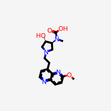 COc1ccc2nccc(CCN3C[C@H](O)[C@@H](N(C)C(=O)O)C3)c2n1